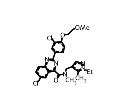 CCn1ncc(CN(C)C(=O)c2nc(-c3ccc(OCCOC)c(Cl)c3)nc3ccc(Cl)cc23)c1C